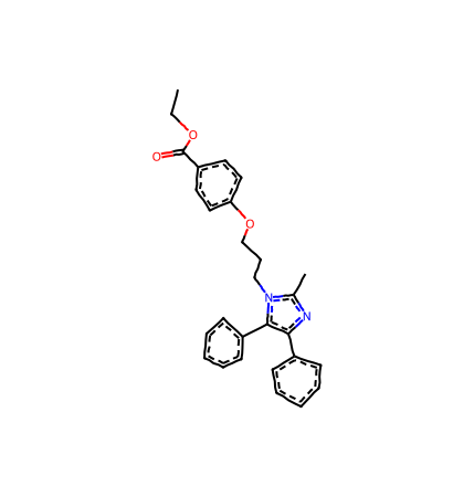 CCOC(=O)c1ccc(OCCCn2c(C)nc(-c3ccccc3)c2-c2ccccc2)cc1